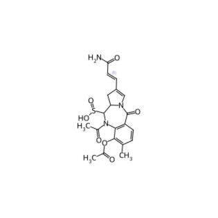 CC(=O)Oc1c(C)ccc2c1N(C(C)=O)C(S(=O)O)C1CC(/C=C/C(N)=O)=CN1C2=O